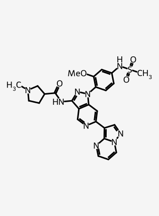 COc1cc(NS(C)(=O)=O)ccc1-n1nc(NC(=O)C2CCN(C)C2)c2cnc(-c3cnn4cccnc34)cc21